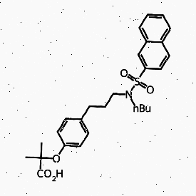 CCCCN(CCCc1ccc(OC(C)(C)C(=O)O)cc1)S(=O)(=O)c1ccc2ccccc2c1